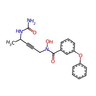 CC(C#CCN(O)C(=O)c1cccc(Oc2ccccc2)c1)NC(N)=O